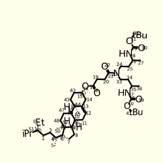 CC[C@H](CC[C@@H](C)[C@H]1CC[C@H]2[C@@H]3CC=C4C[C@@H](OC(=O)CCC(=O)N(CCC(C)NC(=O)OC(C)(C)C)CCC(C)NC(=O)OC(C)(C)C)CC[C@]4(C)[C@H]3CC[C@]12C)C(C)C